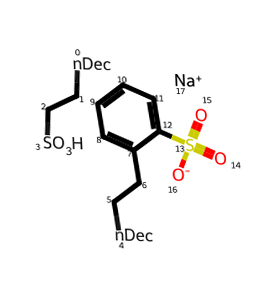 CCCCCCCCCCCCS(=O)(=O)O.CCCCCCCCCCCCc1ccccc1S(=O)(=O)[O-].[Na+]